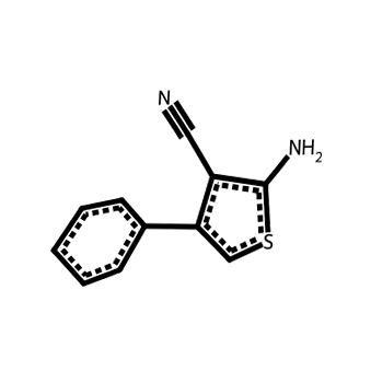 N#Cc1c(-c2ccccc2)csc1N